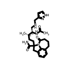 CC(=O)N[C@H](CNCc1cc[nH]n1)[C@@H](C)CCC1(C(N)=O)Cc2cccc3c2N1C(=O)CCC3